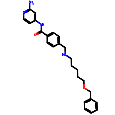 Nc1cc(NC(=O)c2ccc(CNCCCCCOCc3ccccc3)cc2)ccn1